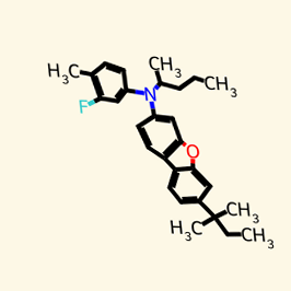 CCCC(C)N(c1ccc(C)c(F)c1)c1ccc2c(c1)oc1cc(C(C)(C)CC)ccc12